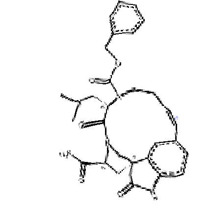 CC(C)C[C@H]1C(=O)N2C[C@]3(C[C@H]2C(N)=O)C(=O)Nc2ccc(cc23)/C=C\CCN1C(=O)OCc1ccccc1